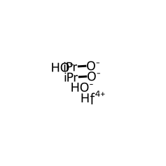 CC(C)[O-].CC(C)[O-].[Hf+4].[OH-].[OH-]